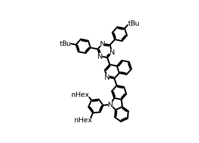 CCCCCCc1cc(CCCCCC)cc(-n2c3ccccc3c3ccc(-c4ncc(-c5nc(-c6ccc(C(C)(C)C)cc6)nc(-c6ccc(C(C)(C)C)cc6)n5)c5ccccc45)cc32)c1